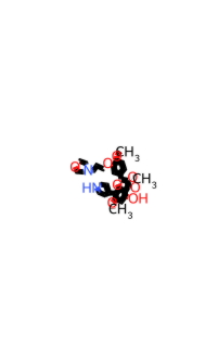 COc1ccc(-c2oc3c(C4=CCNCC4)c(OC)cc(O)c3c(=O)c2OC)cc1OCCCN1CCOCC1